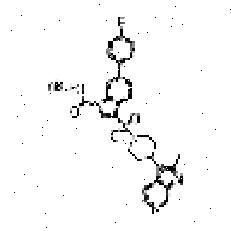 CCCCOC(=O)n1cc(S(=O)(=O)N2CCC(n3c(C)nc4cnccc43)CC2)c2ccc(-c3ccc(F)cc3)cc21